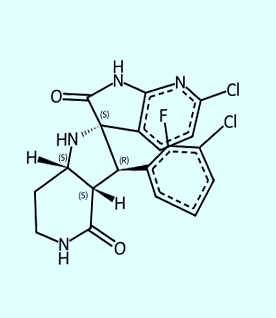 O=C1NCC[C@@H]2N[C@@]3(C(=O)Nc4nc(Cl)ccc43)[C@@H](c3cccc(Cl)c3F)[C@H]12